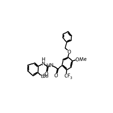 COc1cc(C(F)(F)F)c(C(=O)NC(=O)Nc2ccccc2C(C)(C)C)cc1OCc1ccccc1